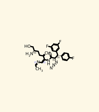 C=C(CC[C@H](N)CO)/C(=C\N=C/C)NC(=O)[C@@H](N=[N+]=[N-])[C@@H](c1ccc(F)cc1)c1cc(F)cc(F)c1